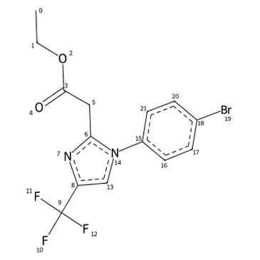 CCOC(=O)Cc1nc(C(F)(F)F)cn1-c1ccc(Br)cc1